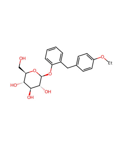 CCOc1ccc(Cc2ccccc2O[C@@H]2O[C@H](CO)[C@@H](O)[C@H](O)[C@H]2O)cc1